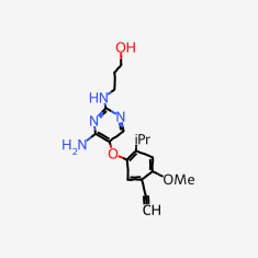 C#Cc1cc(Oc2cnc(NCCCO)nc2N)c(C(C)C)cc1OC